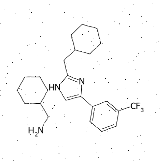 FC(F)(F)c1cccc(-c2c[nH]c(CC3CCCCC3)n2)c1.NCC1CCCCC1